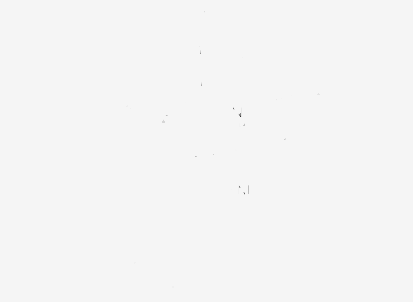 CC(C)(C)C1C2c3ccccc3NC2N(C(C)(C)C)C1C(C)(C)C